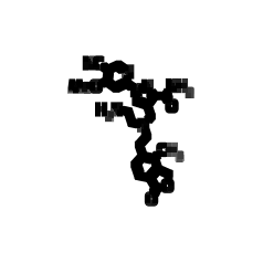 COc1cc(-n2cc(CN(CCN)CCc3ccc4c(c3C)COC4=O)c(C(N)=O)n2)ncc1C#N